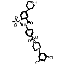 CN(c1ccc(C2CCNCC2)cc1C(=O)Nc1ccc(S(=O)(=O)N2CCN(c3cc(Cl)cc(Cl)c3)CC2)cc1)S(C)(=O)=O